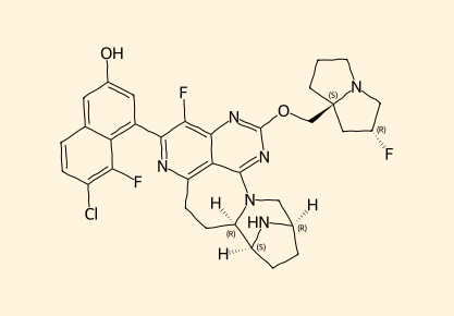 Oc1cc(-c2nc3c4c(nc(OC[C@@]56CCCN5C[C@H](F)C6)nc4c2F)N2C[C@H]4CC[C@H](N4)[C@H]2CC3)c2c(F)c(Cl)ccc2c1